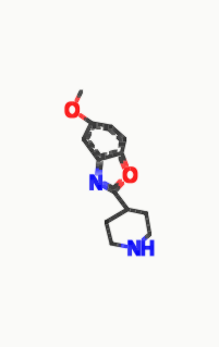 COc1ccc2oc(C3CCNCC3)nc2c1